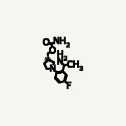 CC(N)c1cc(F)ccc1N1CC[C@@H](COC(N)=O)C1